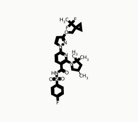 C[C@@H]1CN(c2nc(-n3ccc(OCC4(C(C)(F)F)CC4)n3)ccc2C(=O)NS(=O)(=O)c2ccc(F)cc2)C(C)(C)C1